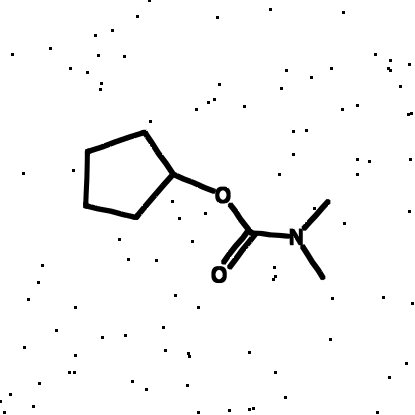 CN(C)C(=O)OC1CCCC1